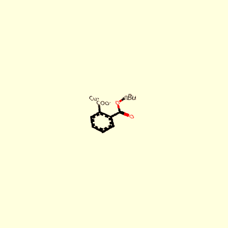 CCCCOC(=O)c1ccccc1C(=O)[O-].[Cu+]